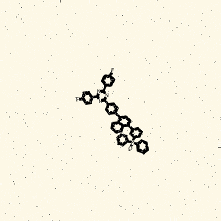 O=P(c1ccccc1)(c1ccccc1)c1cccc(-c2ccc(-c3ccc(-c4nc(-c5ccc(F)cc5)nc(-c5ccc(F)cc5)n4)cc3)c3ccccc23)c1